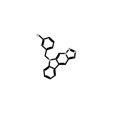 Clc1cccc(Cn2c3ccccc3c3cc4cnnn4cc32)c1